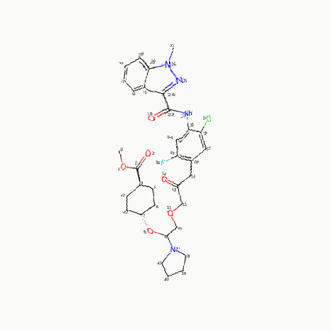 COC(=O)[C@H]1CC[C@H](OC(COCC(=O)Cc2cc(Cl)c(NC(=O)c3nn(C)c4ccccc34)cc2F)N2CCCC2)CC1